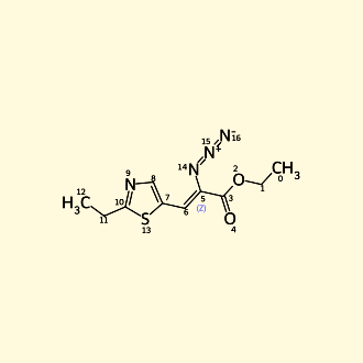 CCOC(=O)/C(=C/c1cnc(CC)s1)N=[N+]=[N-]